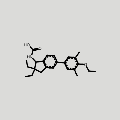 CCOc1c(C)cc(-c2ccc3c(c2)CC(CC)(CC)C3NC(=O)O)cc1C